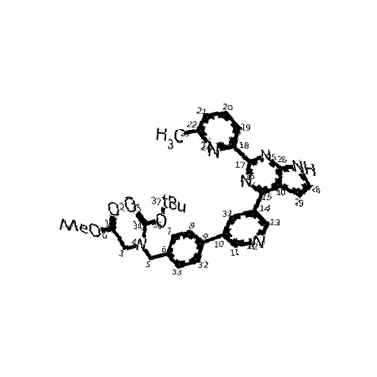 COC(=O)CN(Cc1ccc(-c2cncc(-c3nc(-c4cccc(C)n4)nc4[nH]ccc34)c2)cc1)C(=O)OC(C)(C)C